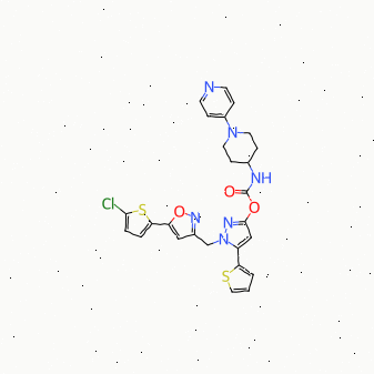 O=C(NC1CCN(c2ccncc2)CC1)Oc1cc(-c2cccs2)n(Cc2cc(-c3ccc(Cl)s3)on2)n1